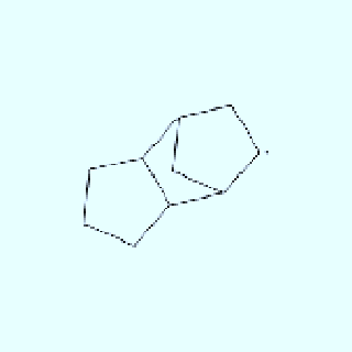 [CH]1CC2CC1C1CCCC21